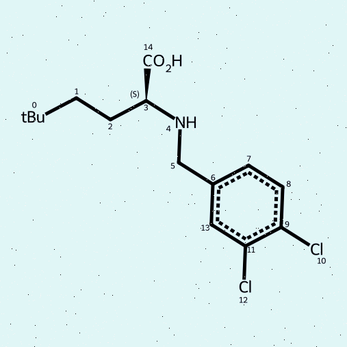 CC(C)(C)CC[C@H](NCc1ccc(Cl)c(Cl)c1)C(=O)O